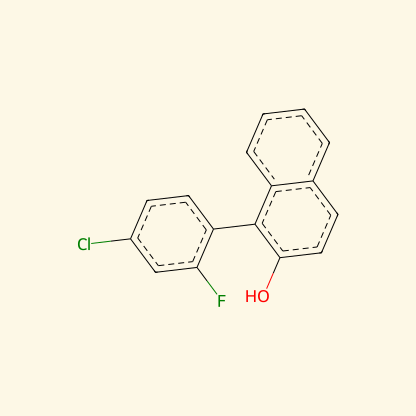 Oc1ccc2ccccc2c1-c1ccc(Cl)cc1F